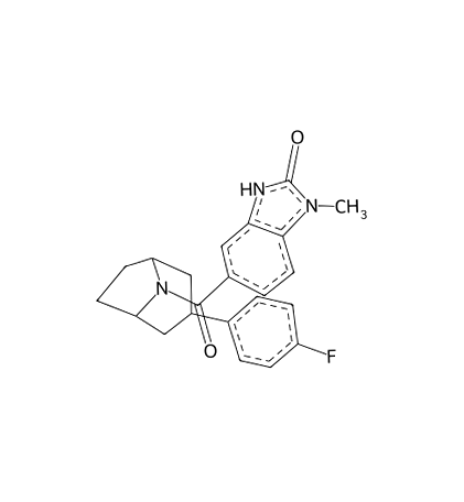 Cn1c(=O)[nH]c2cc(C(=O)N3C4CCC3CC(c3ccc(F)cc3)C4)ccc21